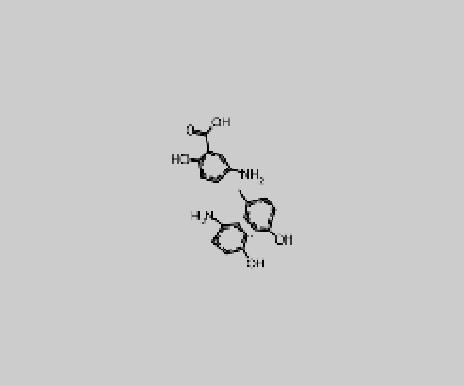 Cc1ccc(O)cc1.Nc1c[c]c(O)cc1.Nc1ccc(O)c(C(=O)O)c1